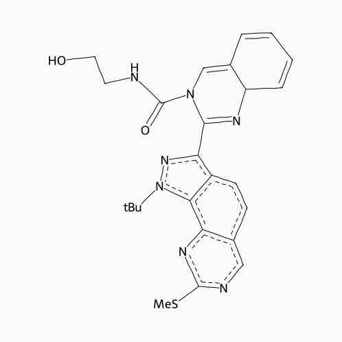 CSc1ncc2ccc3c(C4=NC5C=CC=CC5=CN4C(=O)NCCO)nn(C(C)(C)C)c3c2n1